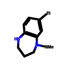 CCc1ccc2c(c1)N(NC)CCCN2